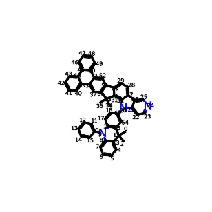 CC1(C)c2ccccc2N(c2ccccc2)c2ccc(-n3c4ccncc4c4ccc5c(c43)C(C)(C)c3cc4c6ccccc6c6ccccc6c4cc3-5)cc21